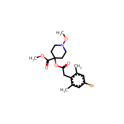 COC(=O)C1(OC(=O)Cc2c(C)cc(Br)cc2C)CCN(OC)CC1